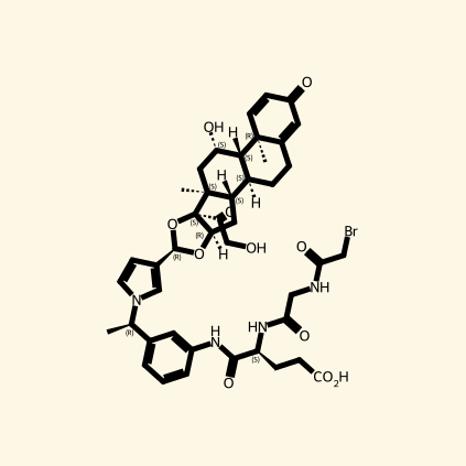 C[C@H](c1cccc(NC(=O)[C@H](CCC(=O)O)NC(=O)CNC(=O)CBr)c1)n1ccc([C@@H]2O[C@@H]3C[C@H]4[C@@H]5CCC6=CC(=O)C=C[C@]6(C)[C@H]5[C@@H](O)C[C@]4(C)[C@]3(C(=O)CO)O2)c1